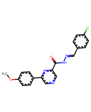 COc1ccc(-c2cncc(C(=O)N/N=C/c3ccc(Cl)cc3)n2)cc1